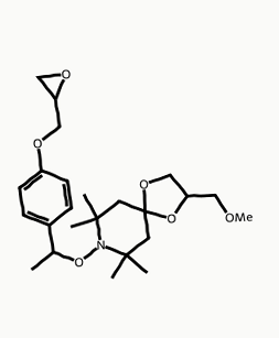 COCC1COC2(CC(C)(C)N(OC(C)c3ccc(OCC4CO4)cc3)C(C)(C)C2)O1